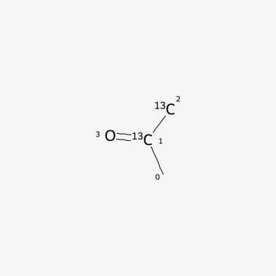 C[13C]([13CH3])=O